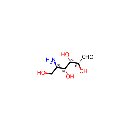 N[C@H](CO)[C@@H](O)[C@H](O)[C@@H](O)C=O